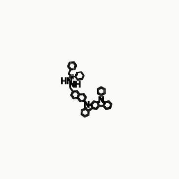 C1=CC([C@H](Cc2ccccc2)NNCc2ccc3cc(-n4c5ccccc5c5cc6c7ccccc7n(-c7ccccc7)c6cc54)ccc3c2)=CCC1